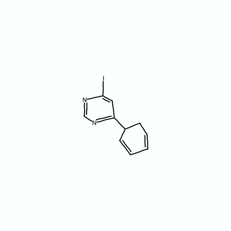 Ic1cc(C2C=CC=CC2)ncn1